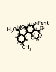 C=C(C)c1ccc(C)cc1-c1c(O)cc(CCCCC)c2c1OCOC2=O